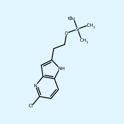 CC(C)(C)[Si](C)(C)OCCc1cc2nc(Cl)ccc2[nH]1